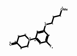 COCCCSc1cc(F)cc(N2CCC(=O)CC2)c1